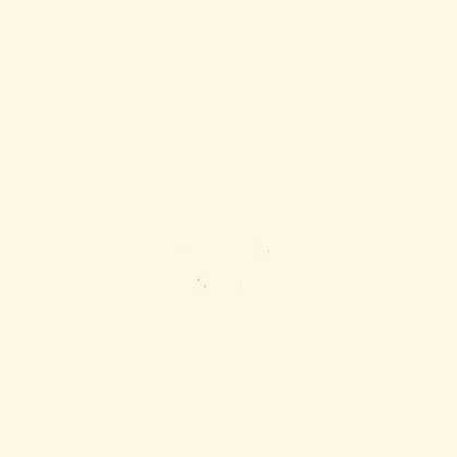 CC(=S)OC(c1ccccc1)c1ccccc1